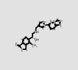 Cc1c([C@@H](O)CNCc2cnn(-c3ccc4nncn4n3)c2)ccc2c1COC2=O